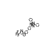 FC(F)(F)c1cnc2c(c1)oc1ccc(-c3ccc(-c4nc(-c5ccccc5)nc(-c5ccccc5)n4)cc3)cc12